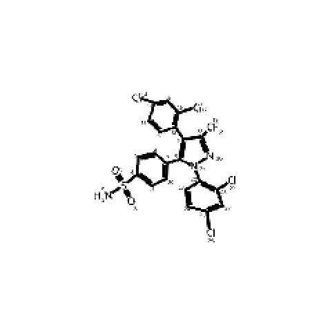 NS(=O)(=O)c1ccc(-c2c(-c3ccc(Cl)cc3Cl)c(C(F)(F)F)nn2-c2ccc(Cl)cc2Cl)cc1